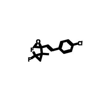 CC1(C2(/C=C/c3ccc(Cl)cc3)CO2)CC1(F)F